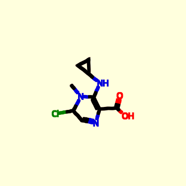 CN1C(NC2CC2)=C(C(=O)O)N=CC1Cl